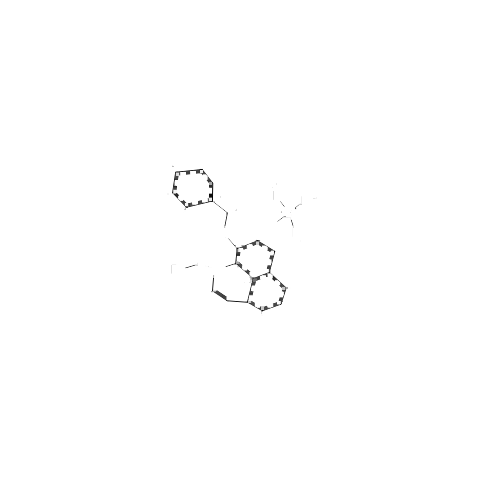 CCO[C+]1C=Cc2cccc3ccc(SCc4ccccc4)c1c23.F[B-](F)(F)F